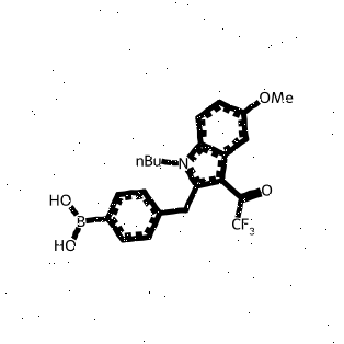 CCCCn1c(Cc2ccc(B(O)O)cc2)c(C(=O)C(F)(F)F)c2cc(OC)ccc21